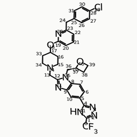 FC(F)(F)c1nnc(-c2ccc3c(c2)nc(CN2CCC(Oc4cccc(Cc5ccc(Cl)cc5)n4)CC2)n3C[C@@H]2CCO2)[nH]1